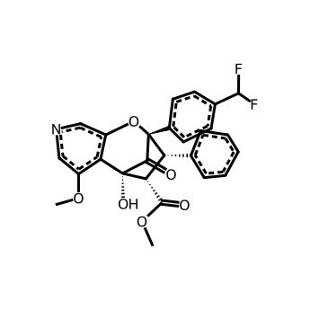 COC(=O)[C@H]1[C@@H](c2ccccc2)[C@@]2(c3ccc(C(F)F)cc3)Oc3cncc(OC)c3[C@@]1(O)C2=O